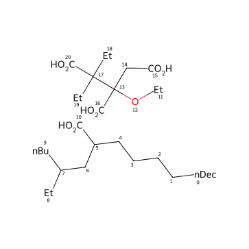 CCCCCCCCCCCCCCC(CC(CC)CCCC)C(=O)O.CCOC(CC(=O)O)(C(=O)O)C(CC)(CC)C(=O)O